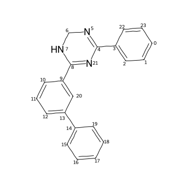 c1ccc(C2=NCNC(c3cccc(-c4ccccc4)c3)=N2)cc1